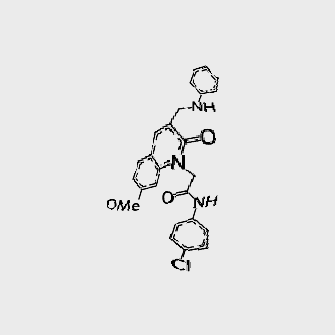 COc1ccc2cc(CNc3ccccc3)c(=O)n(CC(=O)Nc3ccc(Cl)cc3)c2c1